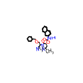 CC(C)CC(OC(=O)Nc1ccc2ccccc2c1)C(=O)NC(C#N)COCc1ccccc1